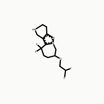 FC(F)COC1CCC(F)(F)c2c3c(nn2C1)CCNC3